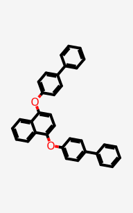 c1ccc(-c2ccc(Oc3ccc(Oc4ccc(-c5ccccc5)cc4)c4ccccc34)cc2)cc1